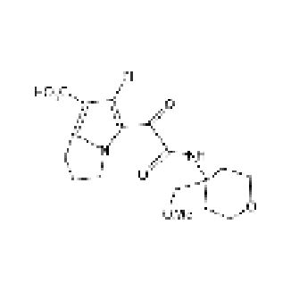 COCC1(NC(=O)C(=O)c2c(Cl)c(C(=O)O)c3n2CCC3)CCOCC1